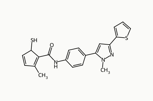 CC1=C(C(=O)Nc2ccc(-c3cc(-c4cccs4)nn3C)cc2)C(S)C=C1